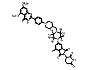 [2H]C1([2H])N(CC2CCN(c3ccc(-c4nc5cc(OC)cc(OC)c5c(=O)[nH]4)cc3)CC2)C([2H])([2H])C([2H])([2H])N(c2cc(F)c3c(c2)C(=O)N(C2CCC(=O)NC2=O)C3=O)C1([2H])[2H]